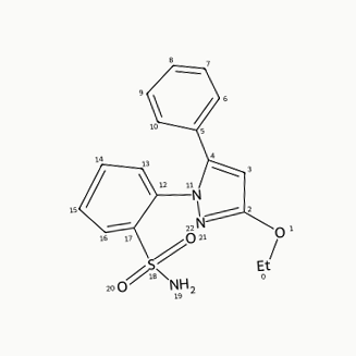 CCOc1cc(-c2ccccc2)n(-c2ccccc2S(N)(=O)=O)n1